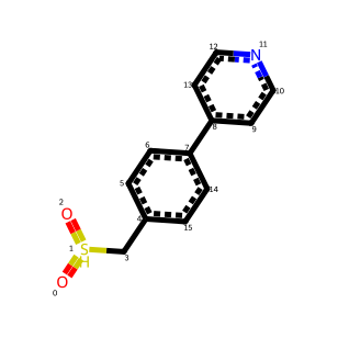 O=[SH](=O)Cc1ccc(-c2ccncc2)cc1